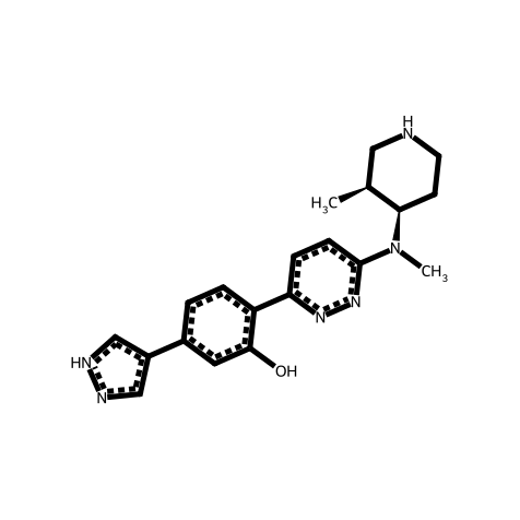 C[C@H]1CNCC[C@H]1N(C)c1ccc(-c2ccc(-c3cn[nH]c3)cc2O)nn1